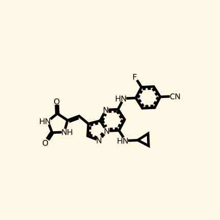 N#Cc1ccc(Nc2cc(NC3CC3)n3ncc(/C=C4\NC(=O)NC4=O)c3n2)c(F)c1